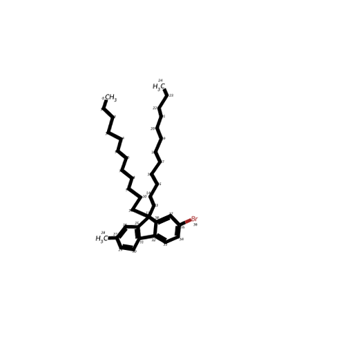 CCCCCCCCCCCCC1(CCCCCCCCCCCC)c2cc(C)ccc2-c2ccc(Br)cc21